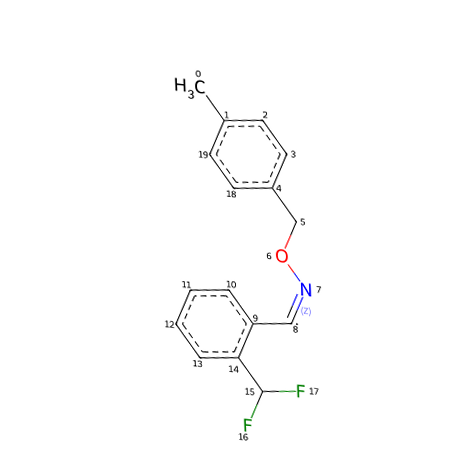 Cc1ccc(CO/N=[C]\c2ccccc2C(F)F)cc1